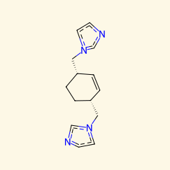 C1=C[C@H](Cn2ccnc2)CC[C@@H]1Cn1ccnc1